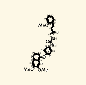 CCN(C(=O)NSC(=O)CCc1ccccc1OC)c1ccc(Oc2ccnc3cc(OC)c(OC)cc23)cc1